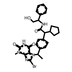 CC(c1ccc(C(C(=O)NC(CO)c2ccccc2)C2CCCC2)cc1)n1c(Br)nc2c1c(=O)[nH]c(=O)n2C